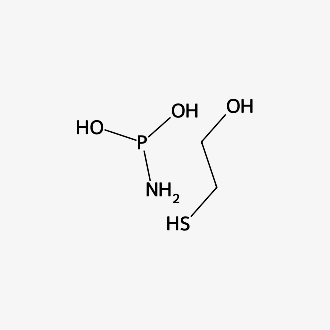 NP(O)O.OCCS